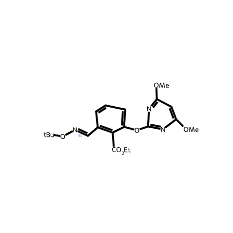 CCOC(=O)c1c(/C=N/OC(C)(C)C)cccc1Oc1nc(OC)cc(OC)n1